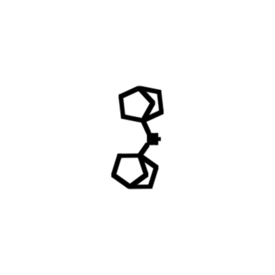 C1C[C]2([Bi][C]34CCC(CC3)C4)CCC1C2